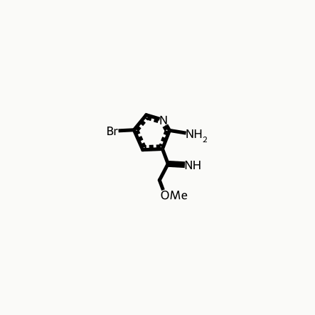 COCC(=N)c1cc(Br)cnc1N